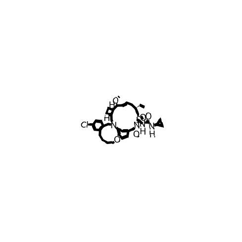 CC[C@H]1C/C=C/[C@H](OC)[C@@H]2CC[C@H]2CN2Cc3ccc(Cl)cc3CCCCOc3ccc(cc32)C(=O)N=S(=O)(NC(=O)NC2CC2)C1